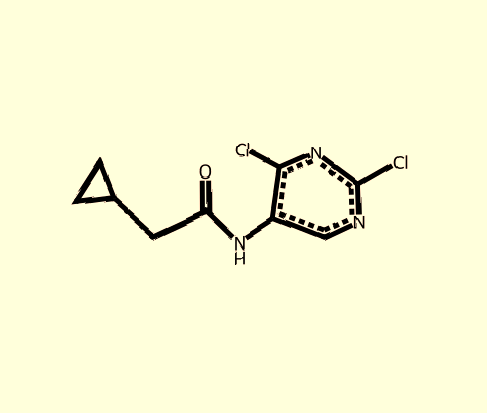 O=C(CC1CC1)Nc1cnc(Cl)nc1Cl